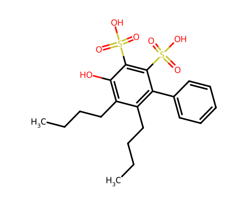 CCCCc1c(O)c(S(=O)(=O)O)c(S(=O)(=O)O)c(-c2ccccc2)c1CCCC